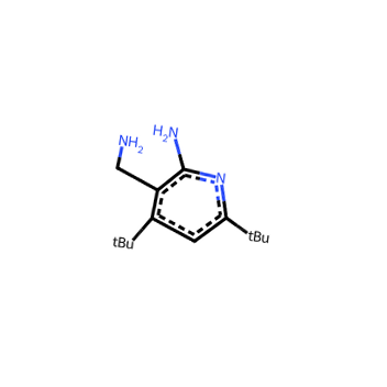 CC(C)(C)c1cc(C(C)(C)C)c(CN)c(N)n1